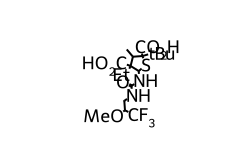 CCC1(C(=O)O)C(NC(=O)NCC(OC)C(F)(F)F)SC(C(=O)O)(C(C)(C)C)C1C